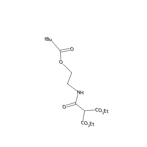 CCOC(=O)C(C(=O)NCCOC(=O)C(C)(C)C)C(=O)OCC